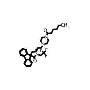 CCCCCC(=O)N1CCN(CCCCC2(C(=O)NCC(F)(F)F)c3ccccc3-c3ccccc32)CC1